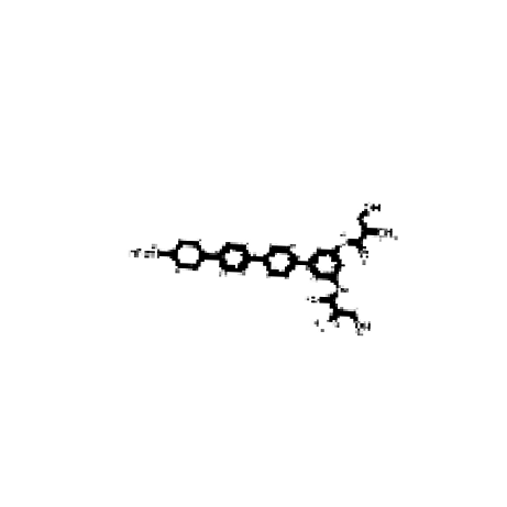 C=C(CO)C(=O)Oc1cc(OC(=O)C(=C)CO)cc(-c2ccc(-c3ccc(C4CCC(CCCCC)CC4)cc3)cc2)c1